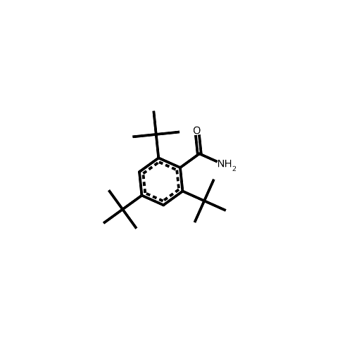 CC(C)(C)c1cc(C(C)(C)C)c(C(N)=O)c(C(C)(C)C)c1